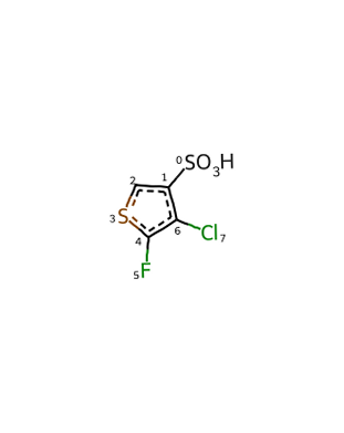 O=S(=O)(O)c1csc(F)c1Cl